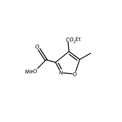 CCOC(=O)c1c(C(=O)OC)noc1C